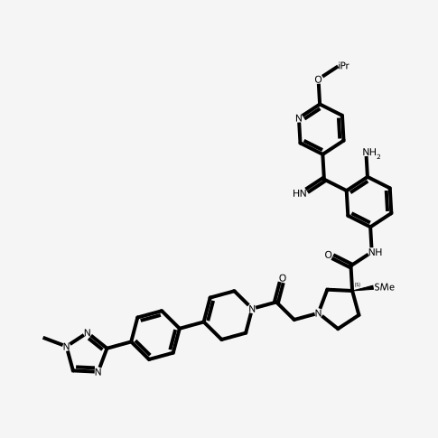 CS[C@@]1(C(=O)Nc2ccc(N)c(C(=N)c3ccc(OC(C)C)nc3)c2)CCN(CC(=O)N2CC=C(c3ccc(-c4ncn(C)n4)cc3)CC2)C1